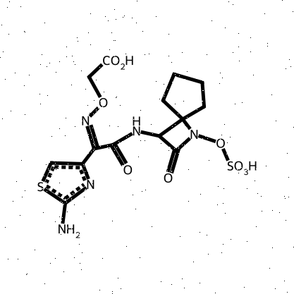 Nc1nc(C(=NOCC(=O)O)C(=O)NC2C(=O)N(OS(=O)(=O)O)C23CCCC3)cs1